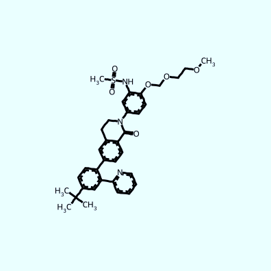 COCCOCOc1ccc(N2CCc3cc(-c4ccc(C(C)(C)C)cc4-c4ccccn4)ccc3C2=O)cc1NS(C)(=O)=O